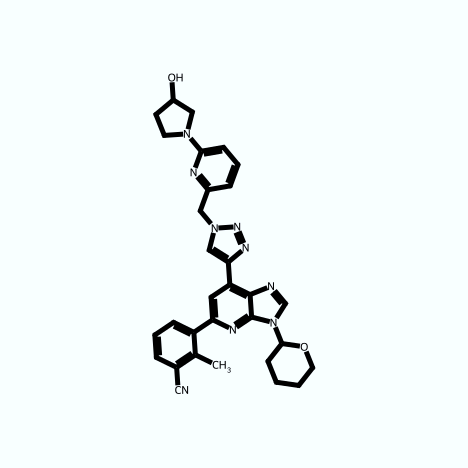 Cc1c(C#N)cccc1-c1cc(-c2cn(Cc3cccc(N4CCC(O)C4)n3)nn2)c2ncn(C3CCCCO3)c2n1